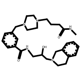 CNC(=O)CCCN1CCN(Cc2cccc(C(=O)NCC(O)CN3CCc4ccccc4C3)c2)CC1